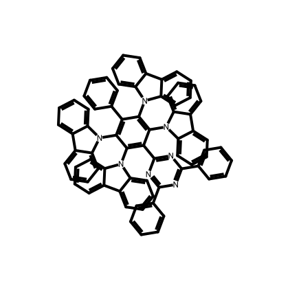 c1ccc(-c2nc(-c3ccccc3)nc(-c3c(-n4c5ccccc5c5ccccc54)c(-n4c5ccccc5c5ccccc54)c(-c4ccccc4)c(-n4c5ccccc5c5ccccc54)c3-n3c4ccccc4c4ccccc43)n2)cc1